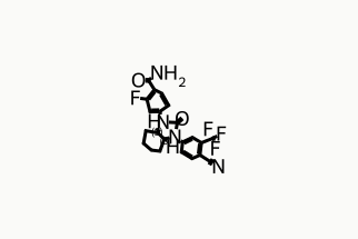 N#Cc1ccc(N2C(=O)N(c3ccc(C(N)=O)c(F)c3)[C@H]3CCCC[C@@H]32)cc1C(F)(F)F